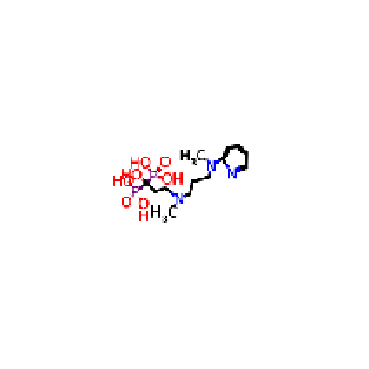 CN(CCCN(C)c1ccccn1)CCC(O)(P(=O)(O)O)P(=O)(O)O